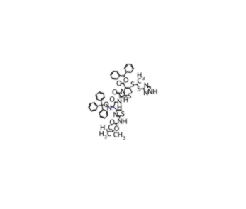 CC(SC1=C(C(=O)OC(c2ccccc2)c2ccccc2)N2C(=O)[C@@H](NC(=O)/C(=N\OC(c3ccccc3)(c3ccccc3)c3ccccc3)c3csc(NC(=O)OC(C)(C)C)n3)[C@@H]2SC1)Sc1nc[nH]n1